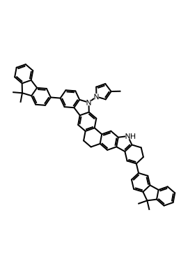 Cc1ccn(-n2c3ccc(-c4ccc5c(c4)-c4ccccc4C5(C)C)cc3c3cc4c(cc32)-c2cc3[nH]c5c(c3cc2CC4)C=C(c2ccc3c(c2)-c2ccccc2C3(C)C)CC5)c1